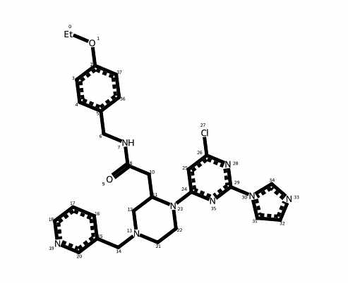 CCOc1ccc(CNC(=O)CC2CN(Cc3cccnc3)CCN2c2cc(Cl)nc(-n3ccnc3)n2)cc1